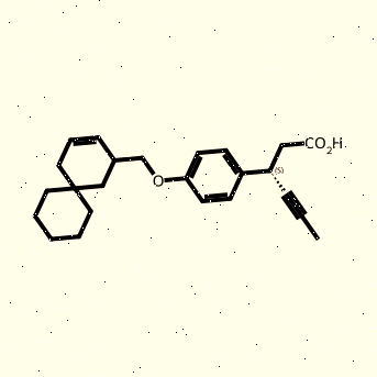 CC#C[C@@H](CC(=O)O)c1ccc(OCC2C=CCC3(CCCCC3)C2)cc1